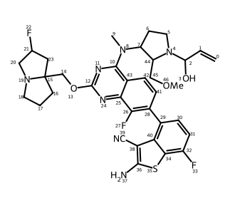 C=CC(O)N1CCC(N(C)c2nc(OCC34CCCN3CC(F)C4)nc3c(F)c(-c4ccc(F)c5sc(N)c(C#N)c45)ccc23)C1COC